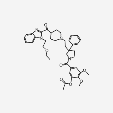 CCOCCn1c(C(=O)C2CCN(CCC3(c4ccccc4)CCN(C(=O)c4cc(OC)c(OC)c(OC(C)=O)c4)C3)CC2)nc2ccccc21